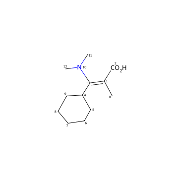 CC(C(=O)O)=C(C1CCCCC1)N(C)C